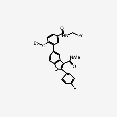 CCOc1ccc(C(=O)NCC(C)C)cc1-c1ccc2oc(-c3ccc(F)cc3)c(C(=O)NC)c2c1